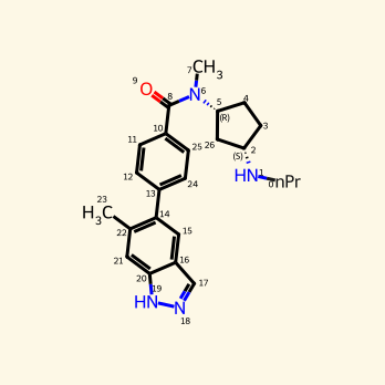 CCCN[C@H]1CC[C@@H](N(C)C(=O)c2ccc(-c3cc4cn[nH]c4cc3C)cc2)C1